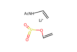 C=CNC(C)=O.C=CO[S-](=O)=O.[Li+]